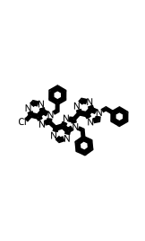 Clc1ncnc2c1nc(-c1ncnc3c1nc(-c1ncnc4c1ncn4Cc1ccccc1)n3Cc1ccccc1)n2Cc1ccccc1